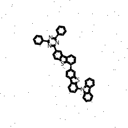 c1ccc(-c2nc(-c3ccccc3)nc(-c3ccc4sc5c(-c6ccc7c(c6)sc6c(-n8c9ccccc9c9ccccc98)cccc67)cccc5c4c3)n2)cc1